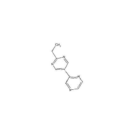 CCc1ncc(-c2cnccn2)cn1